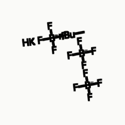 CCCCC.F[B-](F)(F)F.F[B-](F)(F)F.F[B-](F)(F)F.[KH]